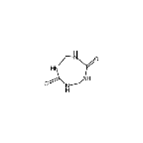 O=C1NCNC(=O)NCN1